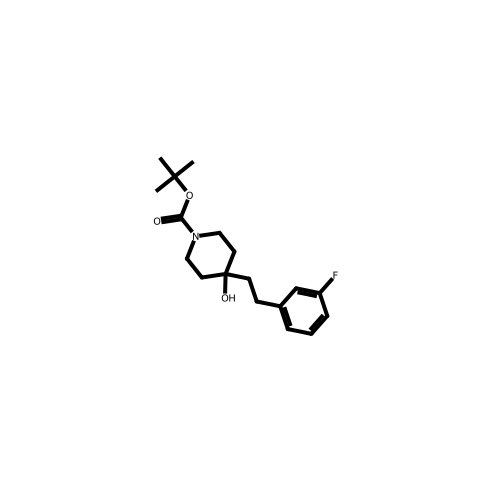 CC(C)(C)OC(=O)N1CCC(O)(CCc2cccc(F)c2)CC1